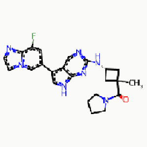 C[C@]1(C(=O)N2CCCC2)C[C@@H](Nc2ncc3c(-c4cc(F)c5nccn5c4)c[nH]c3n2)C1